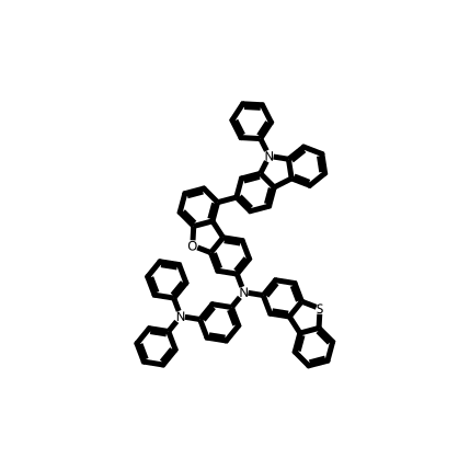 c1ccc(N(c2ccccc2)c2cccc(N(c3ccc4c(c3)oc3cccc(-c5ccc6c7ccccc7n(-c7ccccc7)c6c5)c34)c3ccc4sc5ccccc5c4c3)c2)cc1